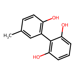 Cc1ccc(O)c(-c2c(O)cccc2O)c1